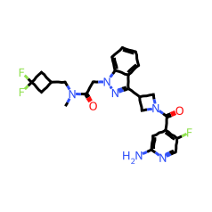 CN(CC1CC(F)(F)C1)C(=O)Cn1nc(C2CN(C(=O)c3cc(N)ncc3F)C2)c2ccccc21